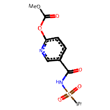 COC(=O)Oc1ccc(C(=O)NS(=O)(=O)C(C)C)cn1